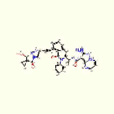 C[C@H](NC(=O)c1c(N)nn2cccnc12)c1cc2cccc(C#Cc3cn(C(=O)C4(CO)CC4)nn3)c2c(=O)n1-c1ccccc1